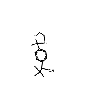 CC1(c2ccc(C(O)C(C)(C)C)cc2)OCCO1